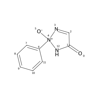 O=C1C=N[N+]([O-])(c2ccccc2)N1